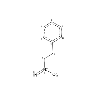 N=[N+]([O-])CCc1cc[c]cc1